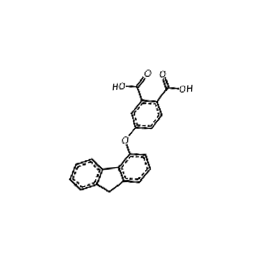 O=C(O)c1ccc(Oc2cccc3c2-c2ccccc2C3)cc1C(=O)O